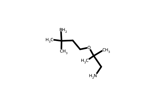 BC(C)(C)CCOC(C)(C)CN